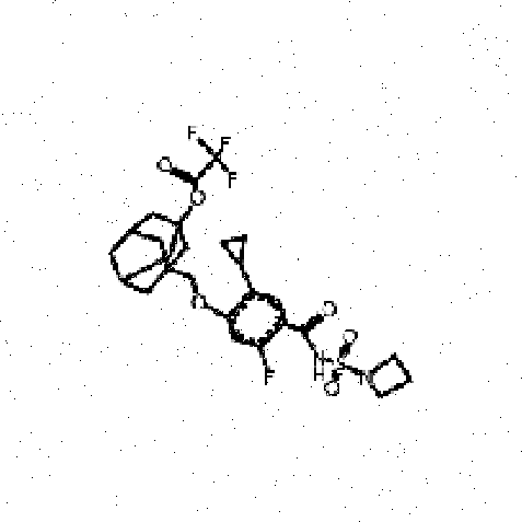 O=C(NS(=O)(=O)N1CCC1)c1cc(C2CC2)c(OCC23CC4CC(C2)CC(OC(=O)C(F)(F)F)(C4)C3)cc1F